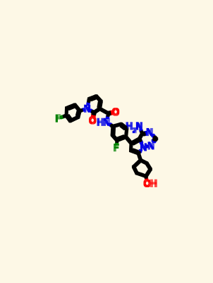 Nc1ncnn2c(C3CCC(O)CC3)cc(-c3ccc(NC(=O)c4cccn(-c5ccc(F)cc5)c4=O)cc3F)c12